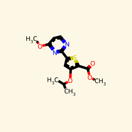 COC(=O)c1sc(-c2nccc(OC)n2)cc1OC(C)C